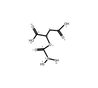 O=C(O)CC(OC(=O)N(S)S)C(=O)O